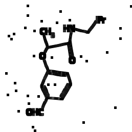 CC(C)CNC(=O)C(C)Oc1cccc(C=O)c1